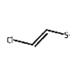 [S]C=CCl